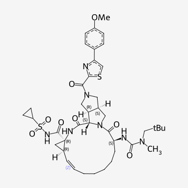 COc1ccc(-c2csc(C(=O)N3C[C@H]4CN5C(=O)[C@@H](NC(=O)N(C)CC(C)(C)C)CCCCC/C=C\[C@H]6C[C@@]6(C(=O)NS(=O)(=O)C6CC6)NC(=O)[C@@H]5[C@H]4C3)n2)cc1